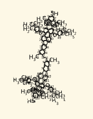 Cc1cc2cc3c(cc2cc1CCc1cc2cc4c(cc2cc1C)-c1ccc2c5c(Oc6ccc(C(C)(C)C)cc6)cc6c7c(cc(Oc8ccc(C(C)(C)C)cc8)c(c8ccc-4c1c28)c75)C(=O)N(c1c(C(C)C)cc(S)cc1C(C)C)C6=O)C1=CC=C2c4c(Oc5ccc(C(C)(C)C)cc5)cc5c6c(cc(Oc7ccc(C(C)(C)C)cc7)c(c46)C4=CC=C3C1C42)C(=O)N(c1c(C(C)C)cc(S)cc1C(C)C)C5=O